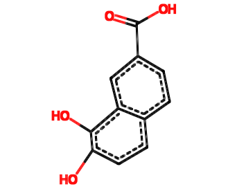 O=C(O)c1ccc2ccc(O)c(O)c2c1